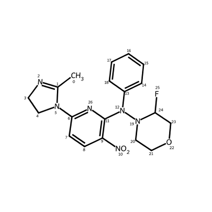 CC1=NCCN1c1ccc([N+](=O)[O-])c(N(c2ccccc2)N2CCOCC2F)n1